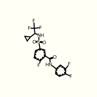 O=C(Nc1ccc(F)c(F)c1)c1cc(S(=O)(=O)NC(C2CC2)C(F)(F)F)ccc1F